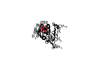 CC[C@H](C)[C@@H]([C@@H](CC(=O)N1CCC[C@H]1[C@H](OC)[C@@H](C)C(=O)N[C@@H](Cc1ccccc1)C(=O)O)OC)N(C)C(=O)[C@H](C)NC(=O)[C@H](C(C)C)N(C)CCc1ccc(NC(=O)[C@H](CCCNC(N)=O)NC(=O)[C@H](C)NC(=O)CCCCCN2C(=O)CC(C)C2=O)cc1